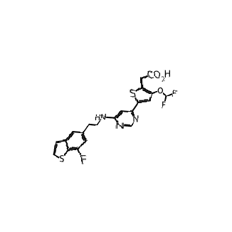 O=C(O)Cc1sc(-c2cc(NCCc3cc(F)c4sccc4c3)ncn2)cc1OC(F)F